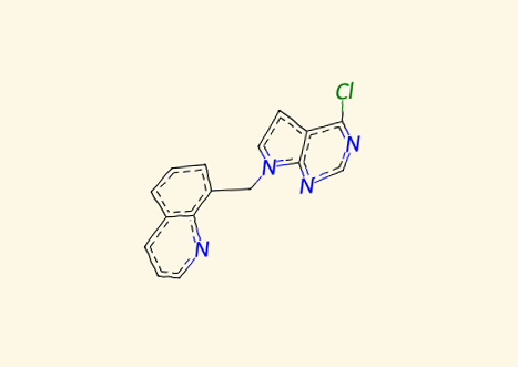 Clc1ncnc2c1ccn2Cc1cccc2cccnc12